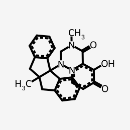 CN1CN(C23c4ccccc4CC2(C)Cc2ccccc23)n2ccc(=O)c(O)c2C1=O